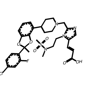 CN(CCn1c(/C=C/C(=O)O)cnc1CN1CCC(c2cccc3c2OC(C)(c2ccc(Cl)cc2F)O3)CC1)S(C)(=O)=O